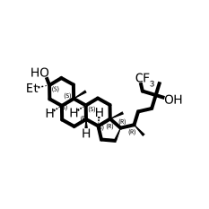 CC[C@]1(O)CC[C@@]2(C)[C@@H](CC[C@@H]3[C@@H]2CC[C@]2(C)[C@@H]([C@H](C)CCC(C)(O)CC(F)(F)F)CC[C@@H]32)C1